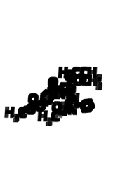 CCOC(=O)ON1CCN(C(=O)C(CCC(=O)OC(C)(C)C)NC(=O)c2cc(C[C@H](C)O)nc(-c3ccccc3)n2)CC1